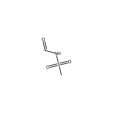 CS(=O)(=O)N[C]=O